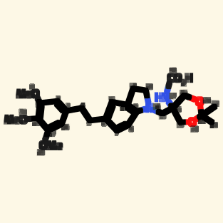 COc1cc(CCc2ccc3c(c2)CCN3CC2(NC(=O)O)COC(C)(C)OC2)cc(OC)c1OC